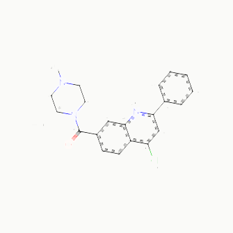 C[C@@H]1CN(C(=O)O)CCN1C(=O)c1ccc2c(Cl)cc(-c3ccccc3)nc2c1